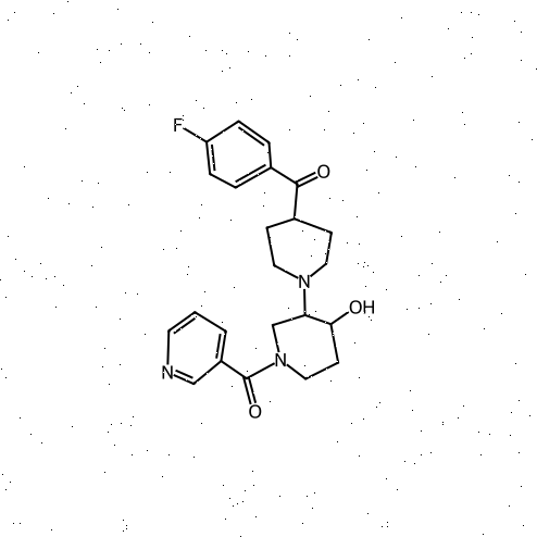 O=C(c1ccc(F)cc1)C1CCN(C2CN(C(=O)c3cccnc3)CCC2O)CC1